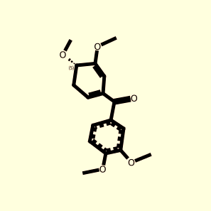 COC1=CC(C(=O)c2ccc(OC)c(OC)c2)=CC[C@@H]1OC